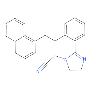 N#CCN1CCN=C1c1ccccc1CCC1=C2C=CC=CC2CC=C1